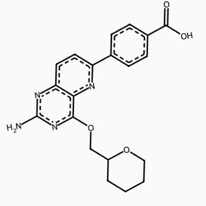 Nc1nc(OCC2CCCCO2)c2nc(-c3ccc(C(=O)O)cc3)ccc2n1